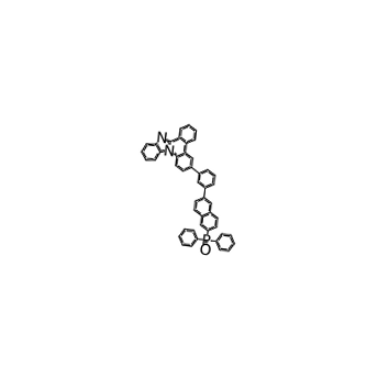 O=P(c1ccccc1)(c1ccccc1)c1ccc2cc(-c3cccc(-c4ccc5c(c4)c4ccccc4c4nc6ccccc6n54)c3)ccc2c1